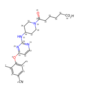 Cc1cc(C#N)cc(C)c1Oc1ccnc(NC2CCN(C(=O)CCCCC(=O)O)CC2)n1